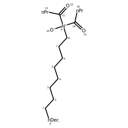 CCCCCCCCCCCCCCCCCC[N+]([O-])(C(=O)CCC)C(=O)CCC